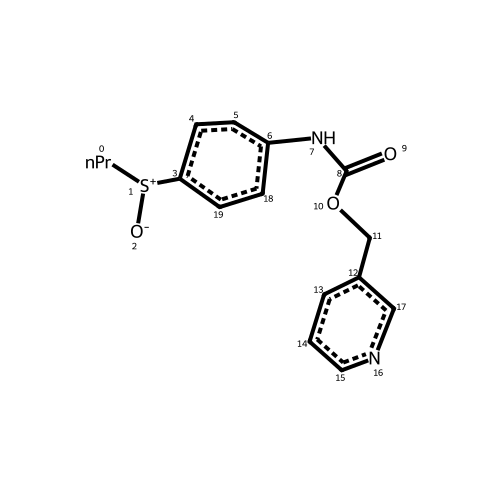 CCC[S+]([O-])c1ccc(NC(=O)OCc2cccnc2)cc1